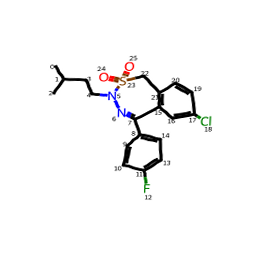 CC(C)CCN1N=C(c2ccc(F)cc2)c2cc(Cl)ccc2CS1(=O)=O